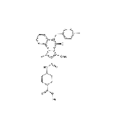 COc1c(C(=O)NC2CCN(C(=O)OC(C)(C)C)CC2)n(C)c2c1c(=O)n(Cc1ccc(C)cc1)c1ccccc21